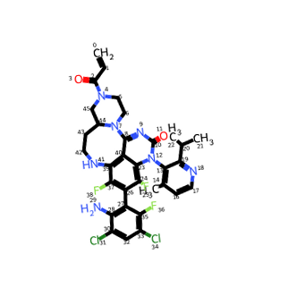 C=CC(=O)N1CCN2c3nc(=O)n(-c4c(C)ccnc4C(C)C)c4c(F)c(-c5c(N)c(Cl)cc(Cl)c5F)c(F)c(c34)NCCC2C1